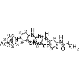 C=CC(=O)Nc1cccc(Nc2nc(Nc3ccc(N4CC5CCCC4CN5C(C)=O)cc3OC)ncc2C(F)(F)F)c1